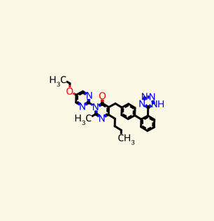 CCCCc1nc(C)n(-c2ncc(OCC)cn2)c(=O)c1Cc1ccc(-c2ccccc2-c2nnn[nH]2)cc1